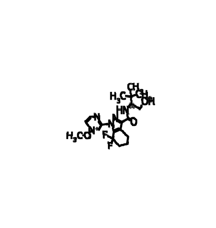 CO[n+]1ccnc(-n2nc(C(=O)N[C@H](CO)C(C)(C)C)c3c2C(F)(F)CCC3)c1